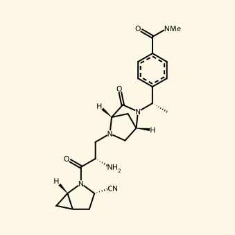 CNC(=O)c1ccc([C@H](C)N2C(=O)[C@@H]3C[C@H]2CN3C[C@H](N)C(=O)N2[C@H](C#N)CC3C[C@@H]32)cc1